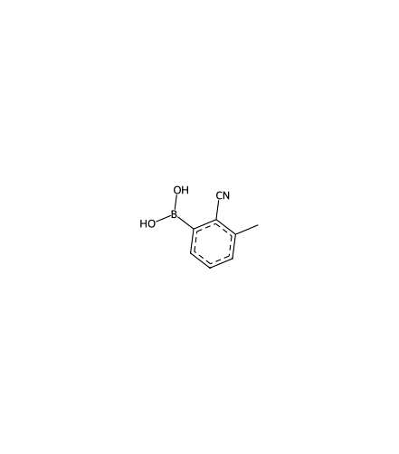 Cc1cccc(B(O)O)c1C#N